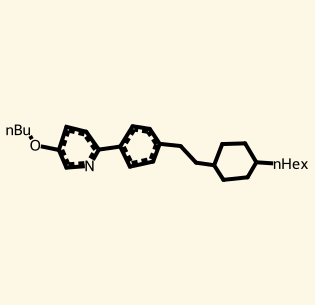 CCCCCCC1CCC(CCc2ccc(-c3ccc(OCCCC)cn3)cc2)CC1